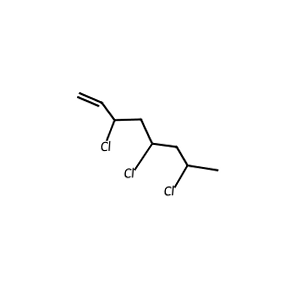 C=CC(Cl)CC(Cl)CC(C)Cl